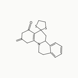 C=C1CC(=O)C2=C(C1)N1CCc3ccccc3C1CC21SCCS1